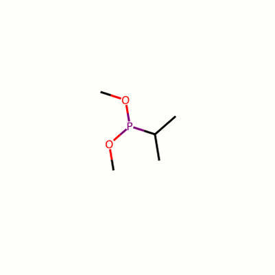 COP(OC)C(C)C